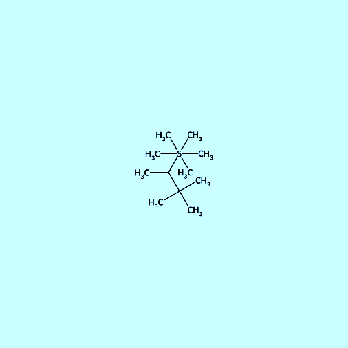 CC(C(C)(C)C)S(C)(C)(C)(C)C